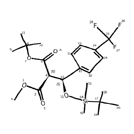 COC(=O)[C@@H](C(=O)OC(C)(C)C)[C@H](O[Si](C)(C)C(C)(C)C)c1ccc(C(F)(F)F)cc1